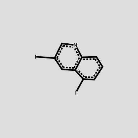 Ic1cnc2cccc(I)c2c1